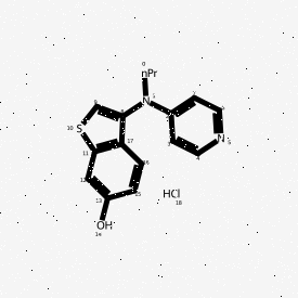 CCCN(c1ccncc1)c1csc2cc(O)ccc12.Cl